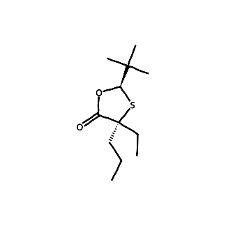 CCC[C@@]1(CC)S[C@H](C(C)(C)C)OC1=O